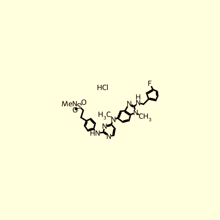 CNS(=O)(=O)CCc1ccc(Nc2nccc(N(C)c3ccc4c(c3)nc(NCc3cccc(F)c3)n4C)n2)cc1.Cl